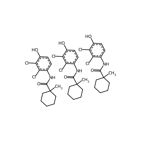 CC1(C(=O)Nc2ccc(O)c(Cl)c2Cl)CCCCC1.CC1(C(=O)Nc2ccc(O)c(Cl)c2Cl)CCCCC1.CC1(C(=O)Nc2ccc(O)c(Cl)c2Cl)CCCCC1